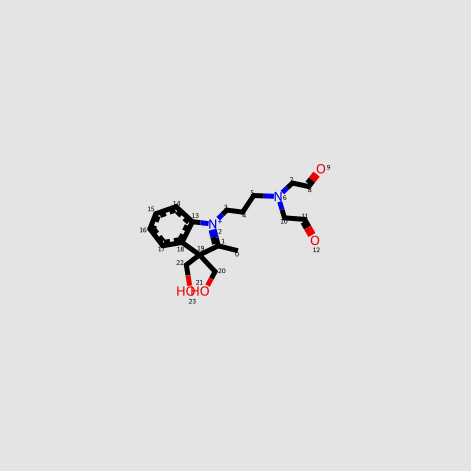 CC1=[N+](CCCN(CC=O)CC=O)c2ccccc2C1(CO)CO